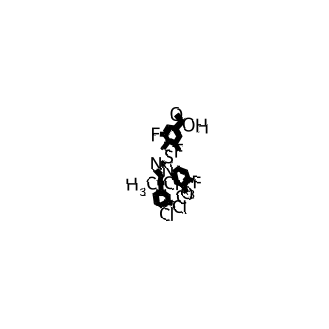 COc1cc(-n2c(C(C)(C)c3ccc(Cl)c(Cl)c3)cnc2SCc2c(F)cc(C(=O)O)cc2F)ccc1F